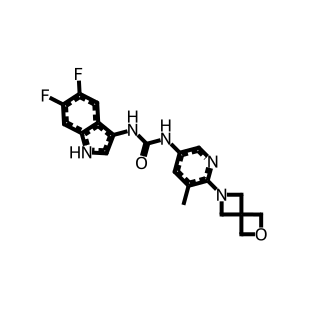 Cc1cc(NC(=O)Nc2c[nH]c3cc(F)c(F)cc23)cnc1N1CC2(COC2)C1